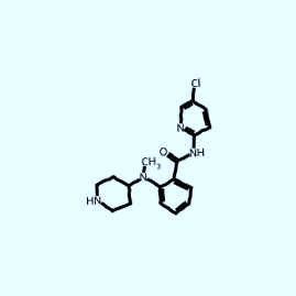 CN(c1ccccc1C(=O)Nc1ccc(Cl)cn1)C1CCNCC1